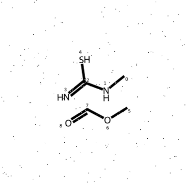 CNC(=N)S.COC=O